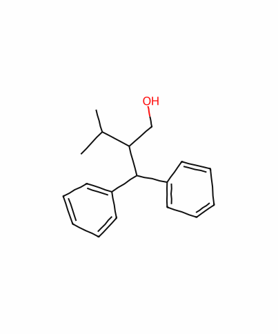 CC(C)C(CO)C(c1ccccc1)c1ccccc1